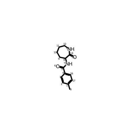 Cc1ccc(C(=O)NC2CCCCNC2=O)cc1